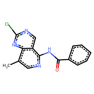 Cc1cnc(NC(=O)c2ccccc2)c2cnc(Cl)nc12